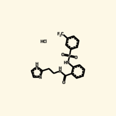 Cl.O=C(NCCc1ncc[nH]1)c1ccccc1NS(=O)(=O)c1cccc(C(F)(F)F)c1